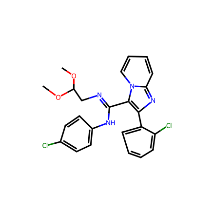 COC(C/N=C(\Nc1ccc(Cl)cc1)c1c(-c2ccccc2Cl)nc2ccccn12)OC